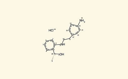 C[C@@H](O)c1ccccc1NCCc1ccc(N)cc1.Cl